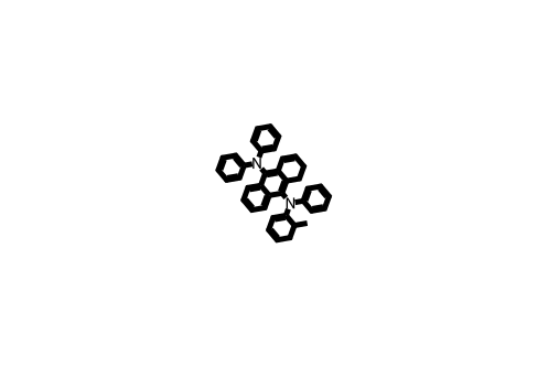 CC1CC=CC=C1N(c1ccccc1)c1c2c(c(N(c3ccccc3)c3ccccc3)c3ccccc13)C=CCC2